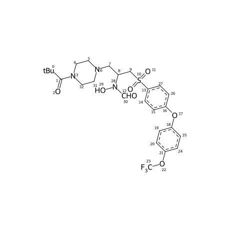 CC(C)(C)C(=O)N1CCN(CC(CS(=O)(=O)c2ccc(Oc3ccc(OC(F)(F)F)cc3)cc2)N(O)C=O)CC1